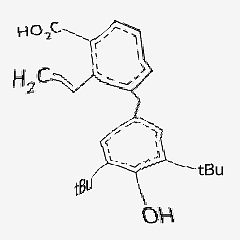 C=Cc1c(C(=O)O)cccc1-c1cc(C(C)(C)C)c(O)c(C(C)(C)C)c1